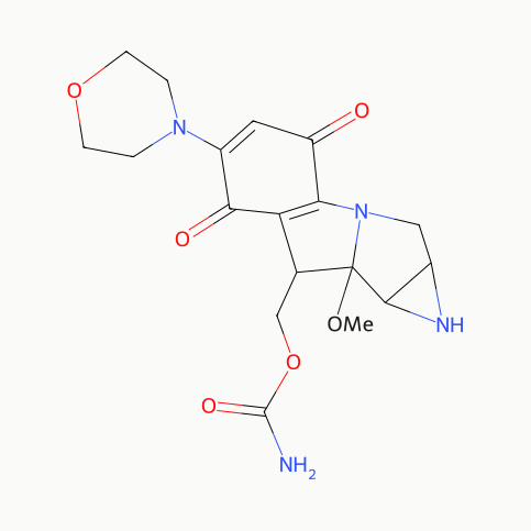 COC12C(COC(N)=O)C3=C(C(=O)C=C(N4CCOCC4)C3=O)N1CC1NC12